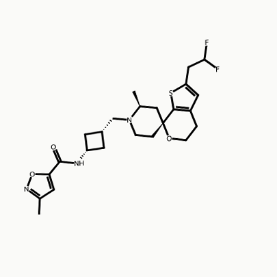 Cc1cc(C(=O)N[C@H]2C[C@@H](CN3CC[C@]4(C[C@@H]3C)OCCc3cc(CC(F)F)sc34)C2)on1